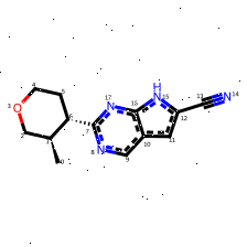 C[C@H]1COCC[C@@H]1c1ncc2cc(C#N)[nH]c2n1